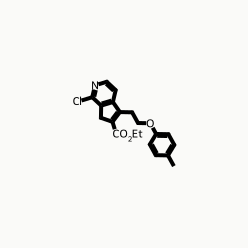 CCOC(=O)C1=C(CCOc2ccc(C)cc2)c2ccnc(Cl)c2C1